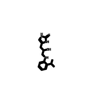 CC(C)c1ccccc1NCC(O)Cc1c[nH]c(=S)[nH]1